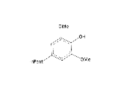 [CH2]CCC[CH]c1cc(OC)c(O)c(OC)c1